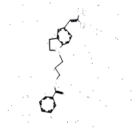 C/C(=C/c1ccc2c(c1)CCN2CCCOC(=O)c1ccccc1)[N+](=O)[O-]